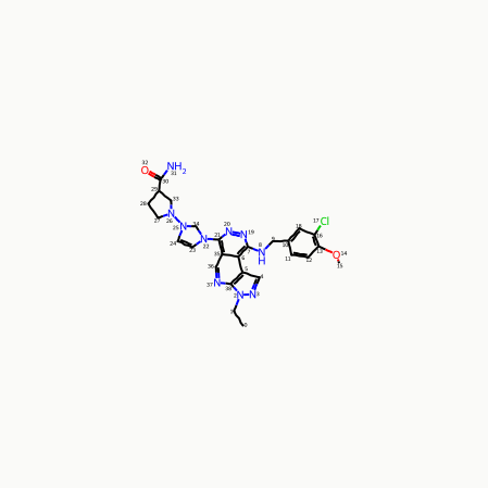 CCn1ncc2c3c(NCc4ccc(OC)c(Cl)c4)nnc(N4C=CN(N5CCC(C(N)=O)C5)C4)c3cnc21